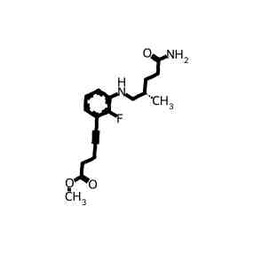 COC(=O)CCC#Cc1cccc(NC[C@@H](C)CCC(N)=O)c1F